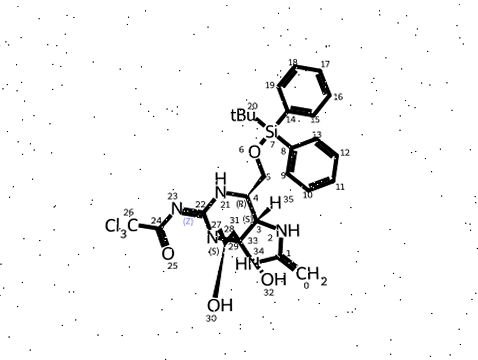 C=C1N[C@H]2[C@H](CO[Si](c3ccccc3)(c3ccccc3)C(C)(C)C)N/C(=N/C(=O)C(Cl)(Cl)Cl)N3C[C@H](O)[C@H](O)C23N1